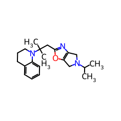 CC(C)N1Cc2nc(CC(C)(C)N3CCCc4ccccc43)oc2C1